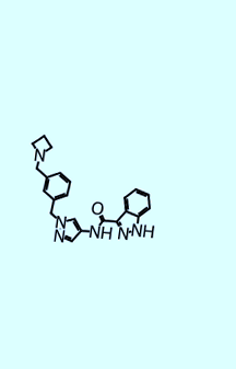 O=C(Nc1cnn(Cc2cccc(CN3CCC3)c2)c1)c1n[nH]c2ccccc12